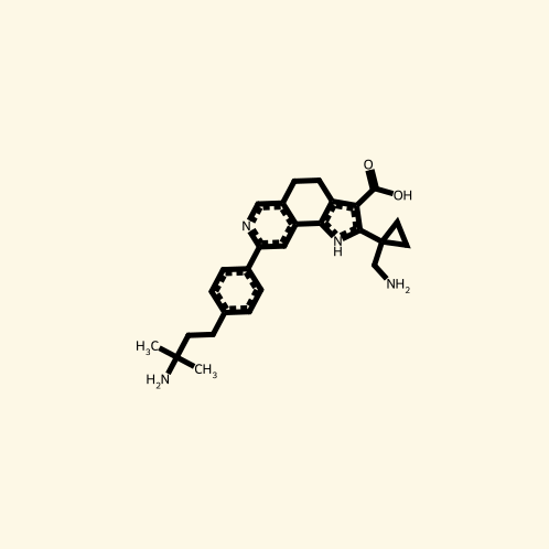 CC(C)(N)CCc1ccc(-c2cc3c(cn2)CCc2c-3[nH]c(C3(CN)CC3)c2C(=O)O)cc1